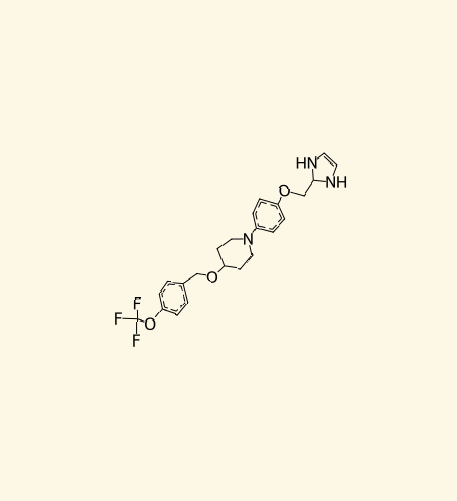 FC(F)(F)Oc1ccc(COC2CCN(c3ccc(OCC4NC=CN4)cc3)CC2)cc1